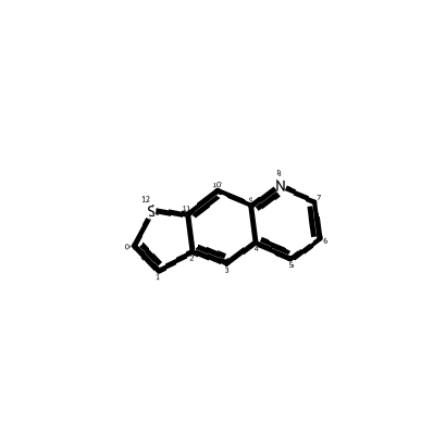 [c]1cc2cc3cccnc3cc2s1